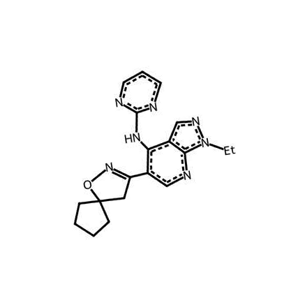 CCn1ncc2c(Nc3ncccn3)c(C3=NOC4(CCCC4)C3)cnc21